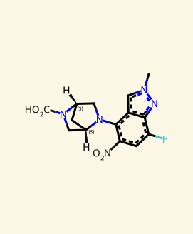 Cn1cc2c(N3C[C@@H]4C[C@H]3CN4C(=O)O)c([N+](=O)[O-])cc(F)c2n1